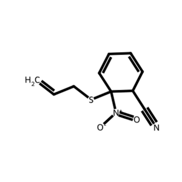 C=CCSC1([N+](=O)[O-])C=CC=CC1C#N